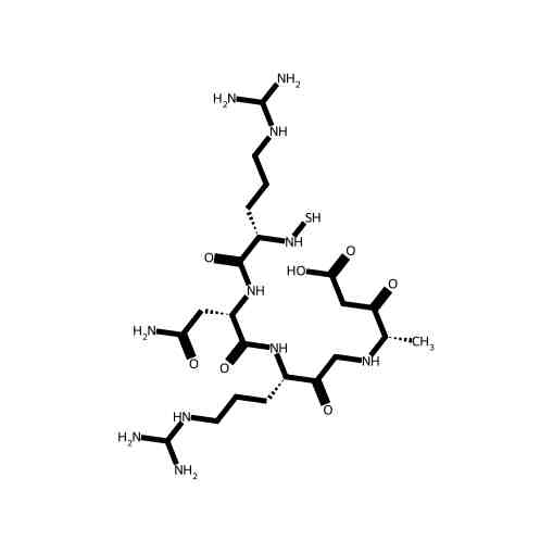 C[C@H](NCC(=O)[C@H](CCCNC(N)N)NC(=O)[C@H](CC(N)=O)NC(=O)[C@H](CCCNC(N)N)NS)C(=O)CC(=O)O